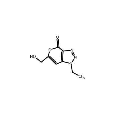 O=c1oc(CO)cc2c1nnn2CC(F)(F)F